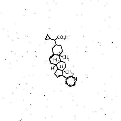 C[C@]12CC[C@H](C(C(=O)O)C3CC3)CC1=CC[C@@H]1[C@@H]2CC[C@]2(C)C(c3cccnc3)=CC[C@@H]12